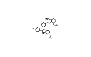 COc1cccc(OC)c1CNc1nccc(-c2c(-c3ccc(F)cc3)nc3cc(CN(C)C)ccn23)n1